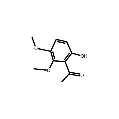 COc1ccc(O)c(C(C)=O)c1OC